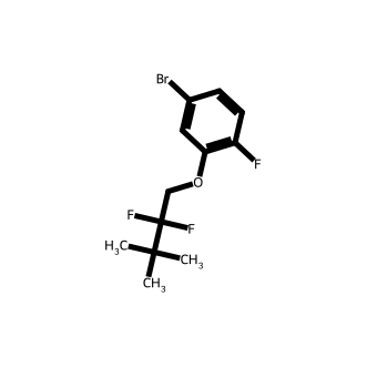 CC(C)(C)C(F)(F)COc1cc(Br)ccc1F